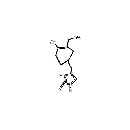 CCC1=C(CO)CC(Cc2c[nH]c(=S)[nH]2)CC1